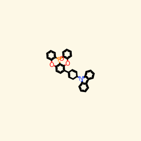 O=P12c3ccccc3Oc3ccc(C4=CCC(n5c6ccccc6c6ccccc65)C=C4)c(c31)Oc1ccccc12